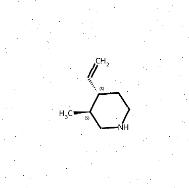 C=C[C@@H]1CCNC[C@H]1C